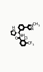 Cn1cc(-c2cccc(C(NC(=O)c3cccc(C(F)(F)F)c3Cl)[C@@H]3CCCN3)c2)cn1